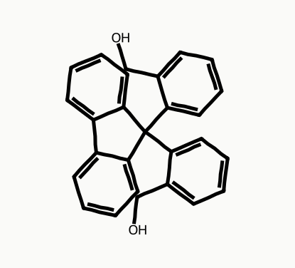 OCc1ccccc1C1(c2ccccc2CO)c2ccccc2-c2ccccc21